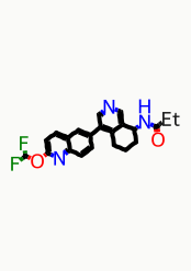 CCC(=O)NC1CCCc2c(-c3ccc4nc(OC(F)F)ccc4c3)cncc21